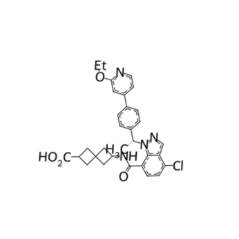 CCOc1cc(-c2ccc([C@@H](C)n3ncc4c(Cl)ccc(C(=O)NC5CC6(C5)CC(C(=O)O)C6)c43)cc2)ccn1